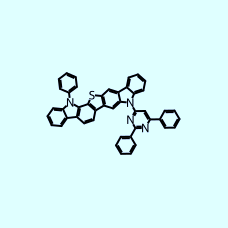 c1ccc(-c2cc(-n3c4ccccc4c4cc5sc6c(ccc7c8ccccc8n(-c8ccccc8)c76)c5cc43)nc(-c3ccccc3)n2)cc1